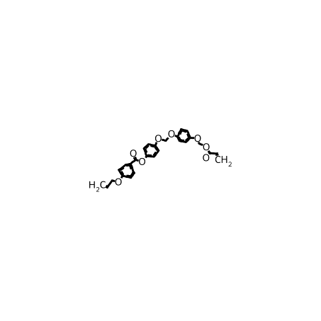 C=CCOc1ccc(C(=O)Oc2ccc(OCOc3ccc(OCOC(=O)C=C)cc3)cc2)cc1